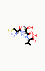 CC(C)[C@H](NC(=O)[C@@H](NC(=O)[C@@H](N)CS)[C@@H](C)O)C(=O)O